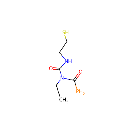 CCN(C(=O)P)C(=O)NCCS